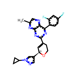 Cc1cnc2c(-c3ccc(F)cc3F)nc(C3=C[C@H](c4cnn(C5CC5)c4)OCC3)nc2n1